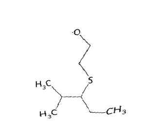 CCC(SCC[O])C(C)C